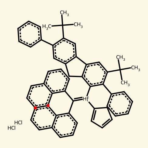 CC(C)(C)c1cc2c(cc1-c1ccccc1)Cc1c-2cc(C(C)(C)C)c(-c2ccccc2)[c]1[Hf]([C]1=CC=CC1)=[C](c1cccc2ccccc12)c1cccc2ccccc12.Cl.Cl